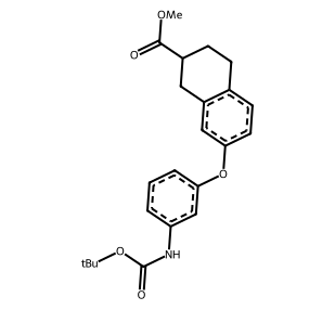 COC(=O)C1CCc2ccc(Oc3cccc(NC(=O)OC(C)(C)C)c3)cc2C1